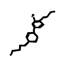 CCCCCC1C=CC(c2ccc(CCCC)c(F)c2)CC1